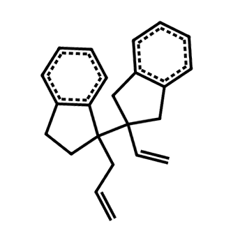 C=CCC1(C2(C=C)Cc3ccccc3C2)CCc2ccccc21